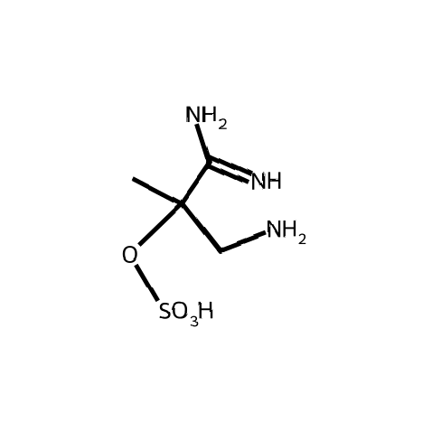 CC(CN)(OS(=O)(=O)O)C(=N)N